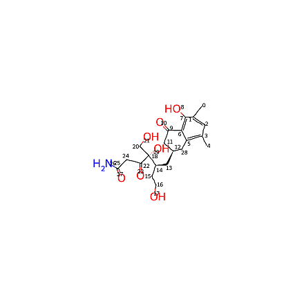 Cc1cc(C)c2c(c1O)C(=O)C[C@H](C[C@@H](CCO)[C@](O)(CO)C(=O)CC(N)=O)C2